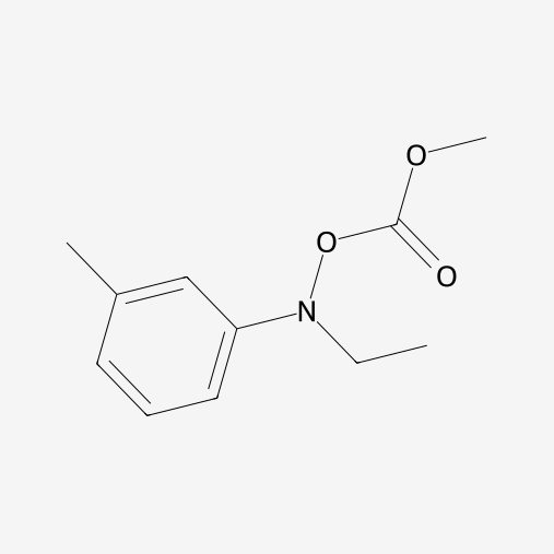 CCN(OC(=O)OC)c1cccc(C)c1